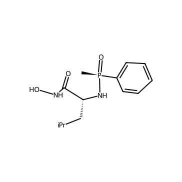 CC(C)C[C@@H](N[P@](C)(=O)c1ccccc1)C(=O)NO